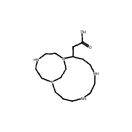 O=C(O)CC1CCNCCNCCCN2CCNCCN1CC2